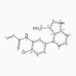 C=CC(=O)Nc1cc(-c2ncnc3[nH]cc(C(=O)OCC)c23)ccc1Cl